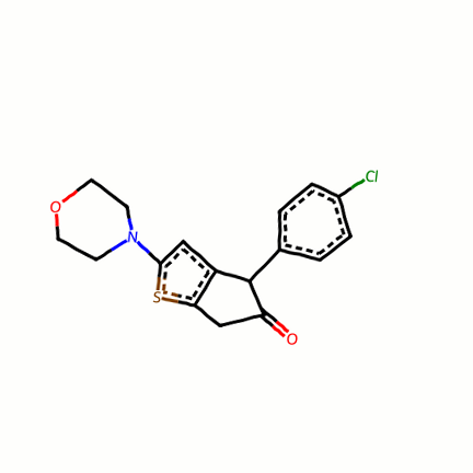 O=C1Cc2sc(N3CCOCC3)cc2C1c1ccc(Cl)cc1